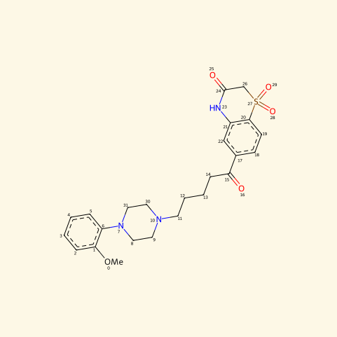 COc1ccccc1N1CCN(CCCCC(=O)c2ccc3c(c2)NC(=O)CS3(=O)=O)CC1